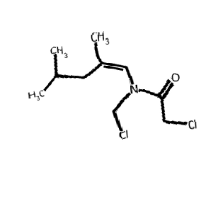 CC(=CN(CCl)C(=O)CCl)CC(C)C